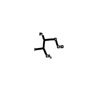 CC(C)C(OC=O)C(C)I